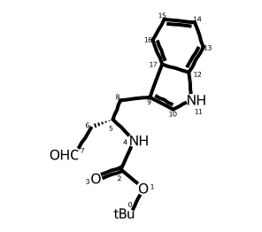 CC(C)(C)OC(=O)N[C@H](CC=O)Cc1c[nH]c2ccccc12